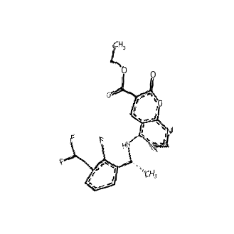 CCOC(=O)c1cc2c(N[C@H](C)c3cccc(C(F)F)c3F)ncnc2oc1=O